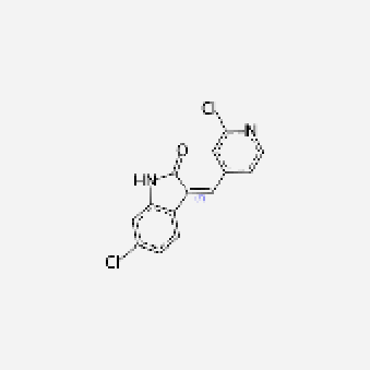 O=C1Nc2cc(Cl)ccc2/C1=C/c1ccnc(Cl)c1